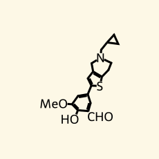 COc1cc(-c2cc3c(s2)CCN(CC2CC2)C3)cc(C=O)c1O